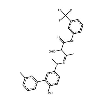 CCC(F)(F)c1cccc(NC(=O)C(C=O)/C(C)=N\N(C)c2ccc(OC)c(-c3cccc(C)n3)c2)c1